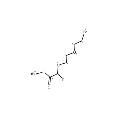 CC(OCCOCCBr)C(=O)OC(C)(C)C